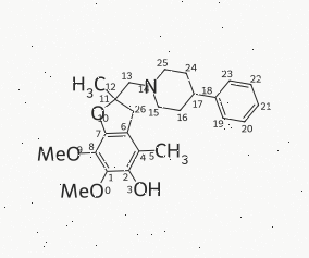 COc1c(O)c(C)c2c(c1OC)OC(C)(CN1CCC(c3ccccc3)CC1)C2